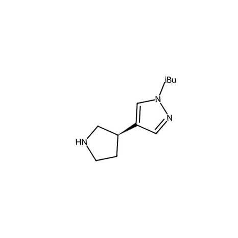 CCC(C)n1cc([C@H]2CCNC2)cn1